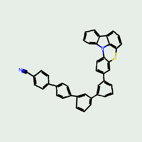 N#Cc1ccc(-c2ccc(-c3cccc(-c4cccc(-c5ccc6c(c5)Sc5cccc7c8ccccc8n-6c57)c4)c3)cc2)cc1